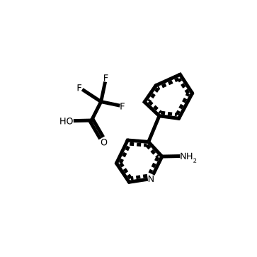 Nc1ncccc1-c1ccccc1.O=C(O)C(F)(F)F